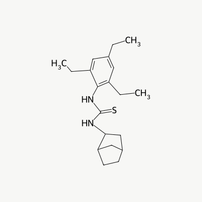 CCc1cc(CC)c(NC(=S)NC2CC3CCC2C3)c(CC)c1